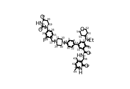 CCN(c1cc(-c2ccc(N3CCN(Cc4ccc(N5CCC(=O)NC5=O)cc4F)CC3)cc2)cc(C(=O)NCc2c(C)cc(C)[nH]c2=O)c1C)C1CCOCC1